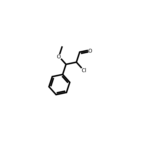 COC(c1ccccc1)C(Cl)C=O